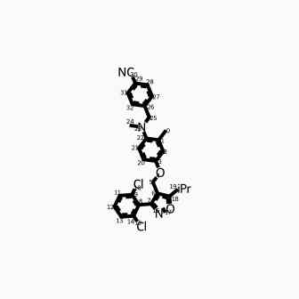 Cc1cc(OCc2c(-c3c(Cl)cccc3Cl)noc2C(C)C)ccc1N(C)Cc1ccc(C#N)cc1